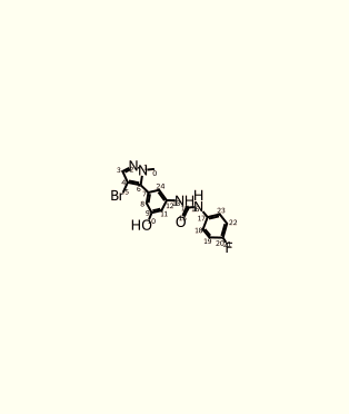 Cn1ncc(Br)c1-c1cc(O)cc(NC(=O)Nc2ccc(F)cc2)c1